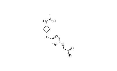 CC(S)N[C@H]1C[C@H](Oc2ccc(OCC(=O)C(C)C)cn2)C1